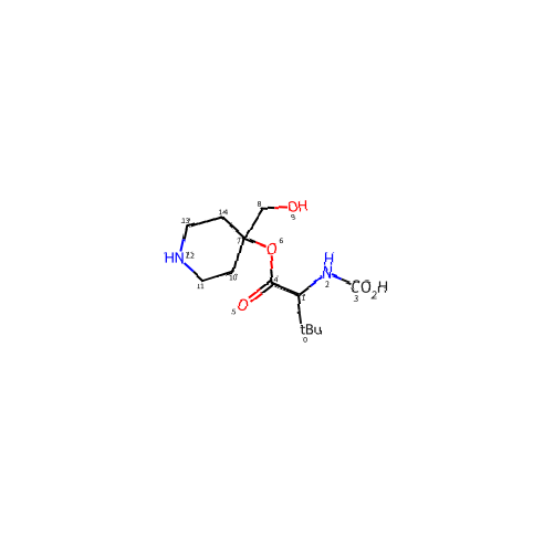 CC(C)(C)C(NC(=O)O)C(=O)OC1(CO)CCNCC1